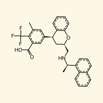 Cc1cc([C@@H]2C[C@H](CN[C@H](C)c3cccc4ccccc34)Oc3ccccc32)cc(C(=O)O)c1C(F)(F)F